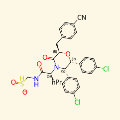 CCC[C@@H](C(=O)NC[SH](=O)=O)N1C(=O)[C@@H](Cc2ccc(C#N)cc2)O[C@H](c2ccc(Cl)cc2)[C@@H]1c1ccc(Cl)cc1